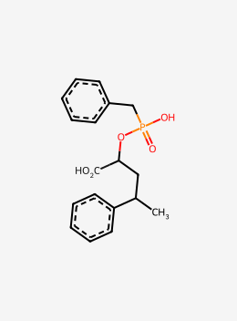 CC(CC(OP(=O)(O)Cc1ccccc1)C(=O)O)c1ccccc1